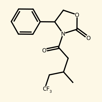 CC(CC(=O)N1C(=O)OCC1c1ccccc1)CC(F)(F)F